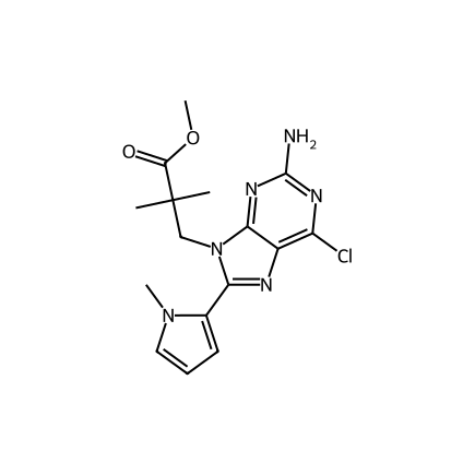 COC(=O)C(C)(C)Cn1c(-c2cccn2C)nc2c(Cl)nc(N)nc21